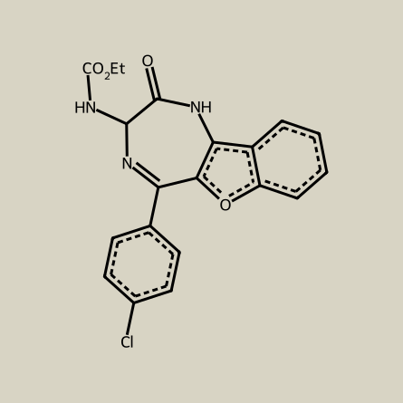 CCOC(=O)NC1N=C(c2ccc(Cl)cc2)c2oc3ccccc3c2NC1=O